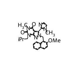 COc1ccc2ccccc2c1Cn1nc2c(c1-c1nccn1C)c(=O)n(C)c(=O)n2CC(C)C